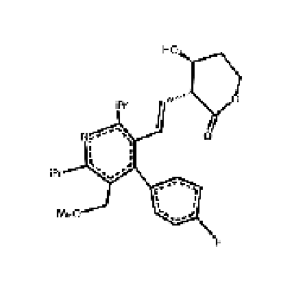 COCc1c(C(C)C)nc(C(C)C)c(/C=C/[C@H]2C(=O)OCC[C@@H]2O)c1-c1ccc(F)cc1